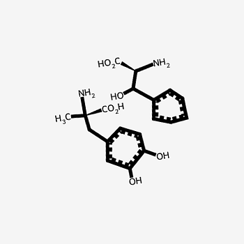 C[C@](N)(Cc1ccc(O)c(O)c1)C(=O)O.N[C@H](C(=O)O)C(O)c1ccccc1